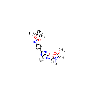 C=C(NC(=O)c1[nH]c(-c2ccc(NC(=O)OC(C)(C)C)cc2)nc1C)C(=O)NC(=C)C(=O)OC